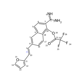 N=C(N)c1ccc2cc(/C=C/c3ccco3)ccc2c1OC(=O)C(F)(F)F